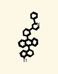 CCc1cccc2c1=CCCC=2c1c2ccccc2c(C2=CC(C3C=CN=C(C4=CC=CCC4)C3)=CCC2)c2ccccc12